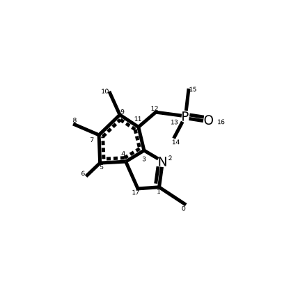 CC1=Nc2c(c(C)c(C)c(C)c2CP(C)(C)=O)C1